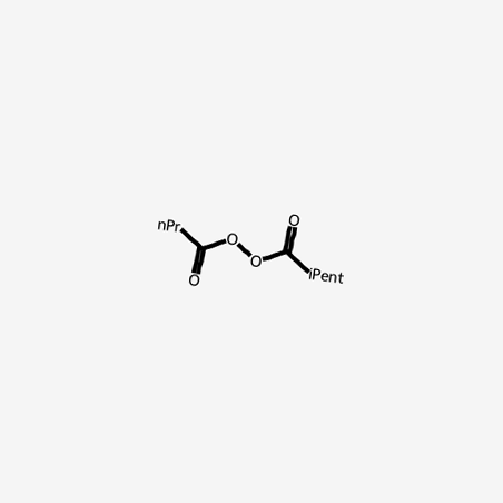 CCCC(=O)OOC(=O)C(C)CCC